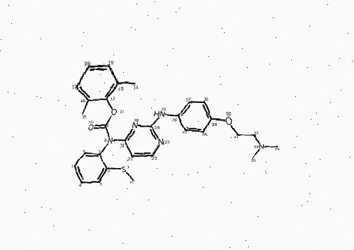 CSc1ccccc1N(C(=O)Oc1c(C)cccc1C)c1ccnc(Nc2ccc(OCCN(C)C)cc2)n1